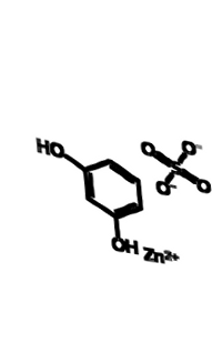 O=S(=O)([O-])[O-].Oc1cccc(O)c1.[Zn+2]